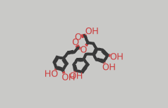 O=C(C=Cc1ccc(O)c(O)c1)OC(Cc1cc(O)c(O)cc1Cc1ccc(O)cc1)C(=O)O